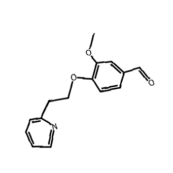 COc1cc(C=O)ccc1OCCc1ccccn1